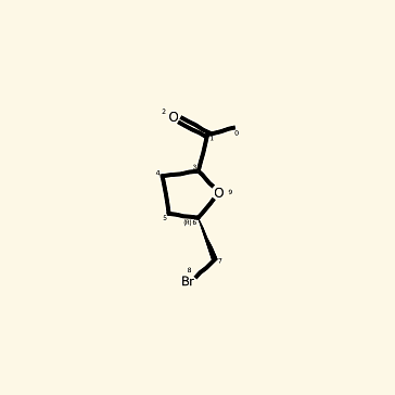 CC(=O)C1CC[C@H](CBr)O1